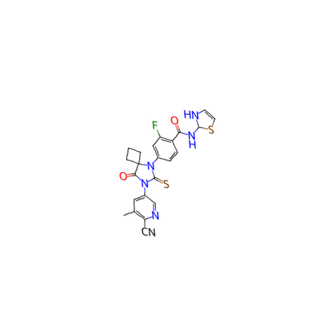 Cc1cc(N2C(=O)C3(CCC3)N(c3ccc(C(=O)NC4NC=CS4)c(F)c3)C2=S)cnc1C#N